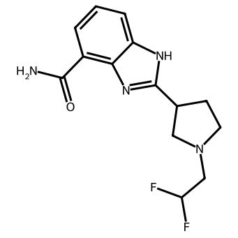 NC(=O)c1cccc2[nH]c(C3CCN(CC(F)F)C3)nc12